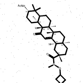 CC(=O)N[C@H]1CC[C@@]2(C)C(CC[C@]3(C)[C@@H]2C(=O)C=C2[C@@H]4C[C@@](C)(C(=O)N(C)OC5CCC5)CC[C@]4(C)CC[C@]23C)C1(C)C